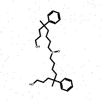 CC(CCCO)(CCCC[S+]([O-])CCCCC(C)(CCCO)c1ccccc1)c1ccccc1